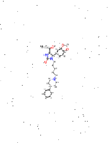 COC(=O)c1[nH]c(=O)n(CCCCCN2CCC(c3ccccc3)CC2)c1-c1ccc2c(c1)OCO2